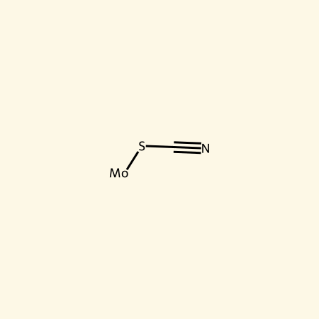 N#C[S][Mo]